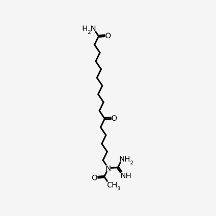 CC(=O)N(CCCCCC(=O)CCCCCCCCCC(N)=O)C(=N)N